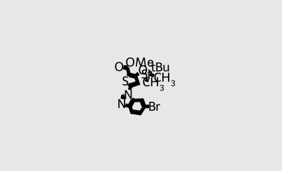 COC(=O)c1sc(-n2cnc3ccc(Br)cc32)cc1O[Si](C)(C)C(C)(C)C